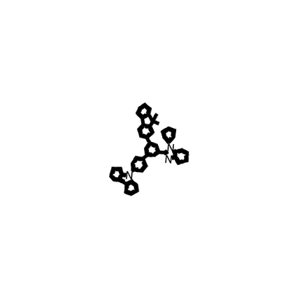 CC1(C)c2ccccc2-c2ccc(-c3cc(-c4ccc(-n5c6ccccc6c6ccccc65)cc4)cc(-c4nc5ccccc5n4-c4ccccc4)c3)cc21